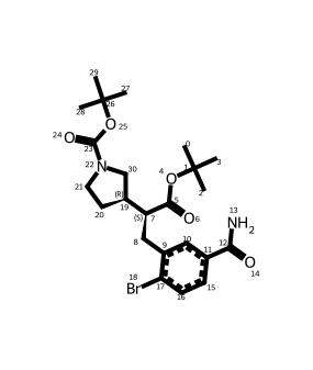 CC(C)(C)OC(=O)[C@@H](Cc1cc(C(N)=O)ccc1Br)[C@H]1CCN(C(=O)OC(C)(C)C)C1